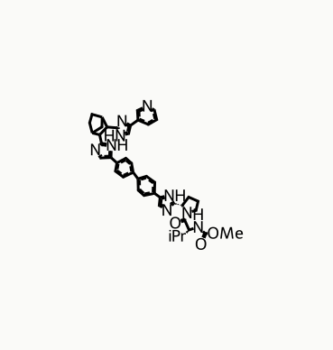 COC(=O)N[C@H](C(=O)N1CCC[C@H]1c1ncc(-c2ccc(-c3ccc(-c4cnc(C5C6CCC(C6)C5c5nc(-c6cccnc6)c[nH]5)[nH]4)cc3)cc2)[nH]1)C(C)C